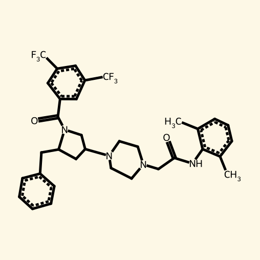 Cc1cccc(C)c1NC(=O)CN1CCN(C2CC(Cc3ccccc3)N(C(=O)c3cc(C(F)(F)F)cc(C(F)(F)F)c3)C2)CC1